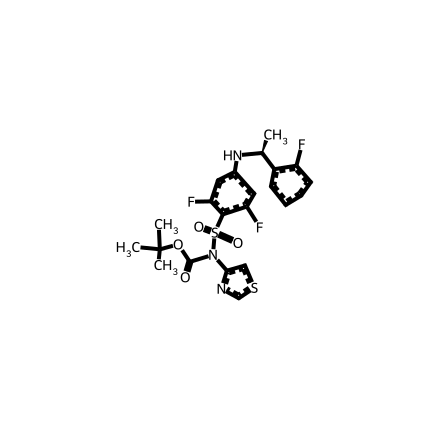 C[C@H](Nc1cc(F)c(S(=O)(=O)N(C(=O)OC(C)(C)C)c2cscn2)c(F)c1)c1ccccc1F